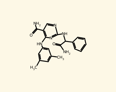 Cc1cc(C)cc(Nc2nc(NC(C(N)=O)c3ccccc3)ncc2C(N)=O)c1